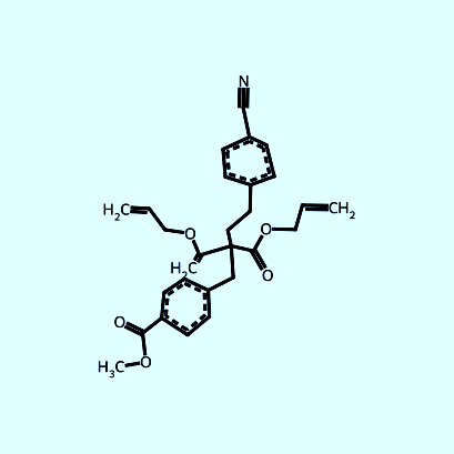 C=CCOC(=C)C(CCc1ccc(C#N)cc1)(Cc1ccc(C(=O)OC)cc1)C(=O)OCC=C